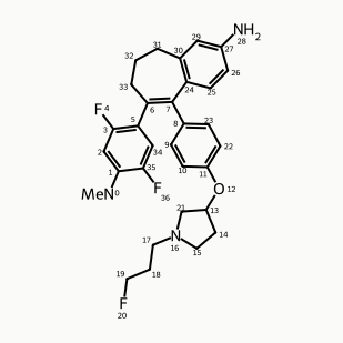 CNc1cc(F)c(C2=C(c3ccc(OC4CCN(CCCF)C4)cc3)c3ccc(N)cc3CCC2)cc1F